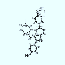 N#Cc1ccc(-c2nc3ccc(-c4ccc(SC(F)(F)F)cc4)cn3c2CN2CCCNCC2)cc1